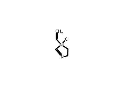 C=C[N+]1(Cl)C=NCC1